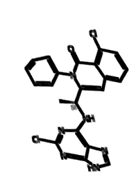 C[C@H](Nc1nc(Cl)nc2[nH]cnc12)c1cc2cccc(Cl)c2c(=O)n1-c1ccccc1